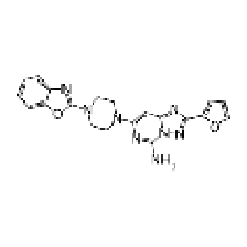 Nc1nc(N2CCN(c3nc4ccccc4o3)CC2)cc2nc(-c3ccco3)nn12